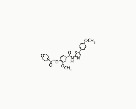 COc1ccc(-c2cnc(NC(=O)c3ccc(OCC(=O)N4CCOCC4)c(OC)c3)s2)cc1